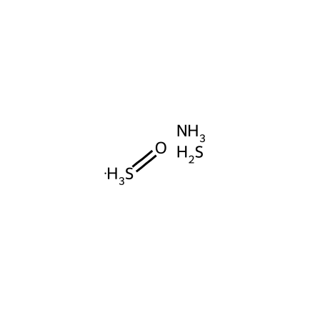 N.O=[SH3].S